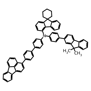 CC1(C)c2ccccc2-c2ccc(-c3ccc(N(c4ccc(-c5ccc(-c6ccc7c8c(cccc68)-c6ccccc6-7)cc5)cc4)c4cccc5c4-c4ccccc4C54CCCCC4)cc3)cc21